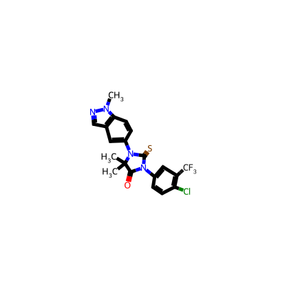 Cn1ncc2cc(N3C(=S)N(c4ccc(Cl)c(C(F)(F)F)c4)C(=O)C3(C)C)ccc21